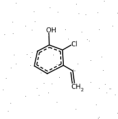 C=[C]c1cccc(O)c1Cl